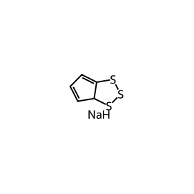 C1=CC2SSSC2=C1.[NaH]